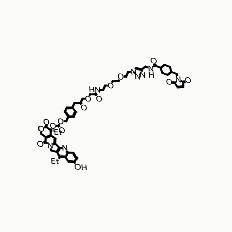 CCc1c2c(nc3ccc(O)cc13)-c1cc3c(c(=O)n1C2)COC(=O)[C@@]3(CC)OC(=O)OCc1ccc(CC(=O)COCC(=O)NCCOCCOCCn2cc(CNC(=O)C3CCC(CN4C(=O)C=CC4=O)CC3)nn2)cc1